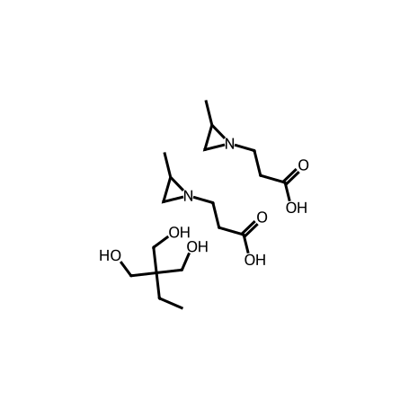 CC1CN1CCC(=O)O.CC1CN1CCC(=O)O.CCC(CO)(CO)CO